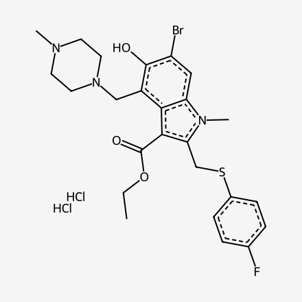 CCOC(=O)c1c(CSc2ccc(F)cc2)n(C)c2cc(Br)c(O)c(CN3CCN(C)CC3)c12.Cl.Cl